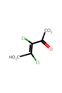 O=C(O)/C(Cl)=C(\Cl)C(=O)C(Cl)(Cl)Cl